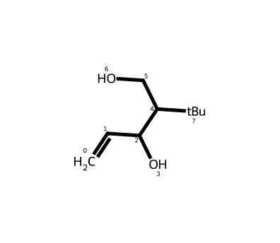 C=CC(O)C(CO)C(C)(C)C